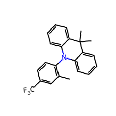 Cc1cc(C(F)(F)F)ccc1N1c2ccccc2C(C)(C)c2ccccc21